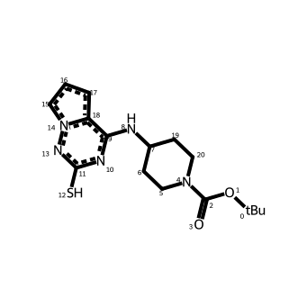 CC(C)(C)OC(=O)N1CCC(Nc2nc(S)nn3cccc23)CC1